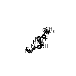 CS(=O)(=O)NCc1cc(F)cc(-c2ccnc3[nH]c(-c4n[nH]c5ccc(-c6cncc(CN7CCC(F)(F)C7)c6)cc45)nc23)c1